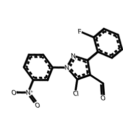 O=Cc1c(-c2ccccc2F)nn(-c2cccc([N+](=O)[O-])c2)c1Cl